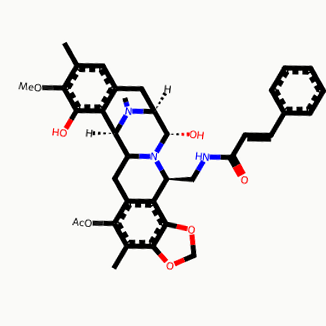 COc1c(C)cc2c(c1O)[C@@H]1C3Cc4c(OC(C)=O)c(C)c5c(c4[C@H](CNC(=O)/C=C/c4ccccc4)N3[C@@H](O)[C@H](C2)N1C)OCO5